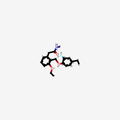 CCOc1cccc(CC(=O)NC)c1COc1ccc(CC)cc1F